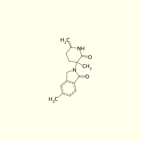 C=C1CCC(C)(N2Cc3cc(C)ccc3C2=O)C(=O)N1